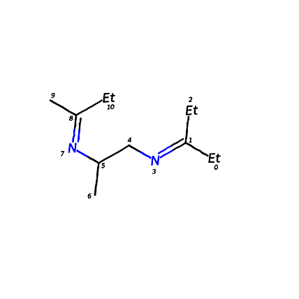 CCC(CC)=NCC(C)/N=C(/C)CC